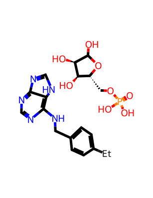 CCc1ccc(CNc2ncnc3nc[nH]c23)cc1.O=P(O)(O)OC[C@H]1OC(O)[C@H](O)[C@@H]1O